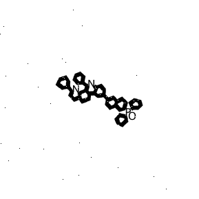 O=P(c1ccccc1)(c1ccccc1)c1ccc2cc(-c3ccc4nc(-c5ccccc5)c5c(ccc6ccc(-c7ccccc7)nc65)c4c3)ccc2c1